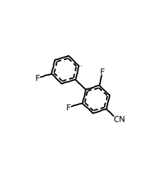 N#Cc1cc(F)c(-c2[c]ccc(F)c2)c(F)c1